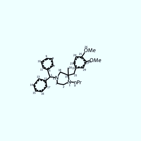 CCCN1CCN(C(c2ccccc2)c2ccccc2)CC1(C)Cc1ccc(OC)c(OC)c1